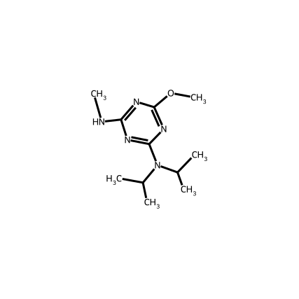 CNc1nc(OC)nc(N(C(C)C)C(C)C)n1